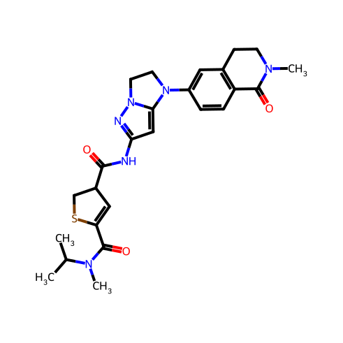 CC(C)N(C)C(=O)C1=CC(C(=O)Nc2cc3n(n2)CCN3c2ccc3c(c2)CCN(C)C3=O)CS1